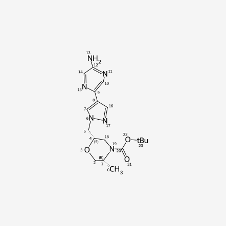 C[C@@H]1CO[C@H](Cn2cc(-c3cnc(N)cn3)cn2)CN1C(=O)OC(C)(C)C